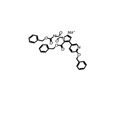 O=C([N-]S(=O)(=O)n1ccc(-c2ccc(OCc3ccccc3)nc2)c1C(=O)OCc1ccccc1)OCc1ccccc1.[Na+]